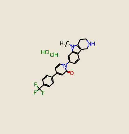 Cl.Cl.Cn1c2c(c3ccc(-n4ccc(-c5ccc(C(F)(F)F)cc5)cc4=O)cc31)CNCC2